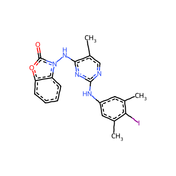 Cc1cnc(Nc2cc(C)c(I)c(C)c2)nc1Nn1c(=O)oc2ccccc21